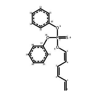 C=C/C=C\C=C/OP(=S)(Oc1ccccc1)Oc1ccccc1